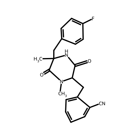 CN1C(=O)C(C)(Cc2ccc(F)cc2)NC(=O)C1Cc1ccccc1C#N